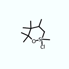 CC1C[Si](C)(Cl)OC(C)(C)C1(C)C